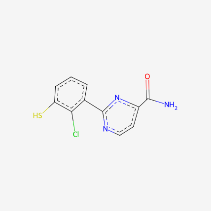 NC(=O)c1ccnc(-c2cccc(S)c2Cl)n1